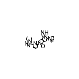 CCc1nnc(-c2cccc(N3Cc4c(cc(N5CCC[C@H]5C)nc4CNC)C3=O)n2)n1CC